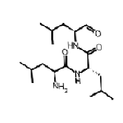 CC(C)C[C@@H](C=O)NC(=O)[C@H](CC(C)C)NC(=O)[C@@H](N)CC(C)C